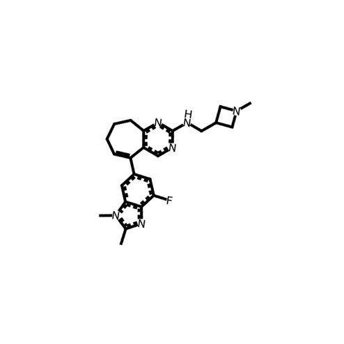 Cc1nc2c(F)cc(C3=CCCCc4nc(NCC5CN(C)C5)ncc43)cc2n1C